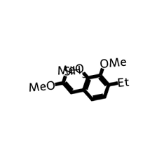 CCc1ccc(C=C([SiH3])OC)c(OC)c1OC